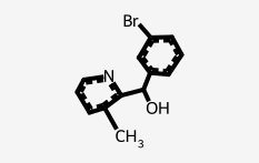 Cc1cccnc1C(O)c1cccc(Br)c1